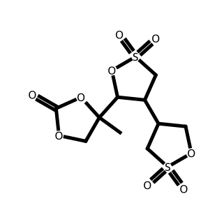 CC1(C2OS(=O)(=O)CC2C2COS(=O)(=O)C2)COC(=O)O1